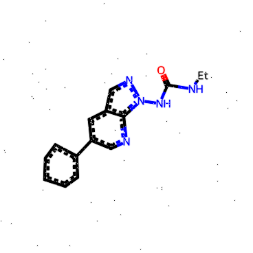 CCNC(=O)Nn1ncc2cc(-c3ccccc3)cnc21